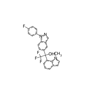 Cn1ccc2cccc(C(O)(c3ccc4c(cnn4-c4ccc(F)cc4)c3)C(F)(F)F)c21